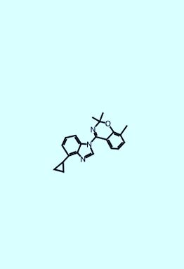 Cc1cccc2c1OC(C)(C)N=C2n1cnc2c(C3CC3)cccc21